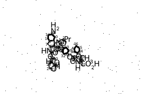 CC(C)CN(C[C@@H](O)[C@H](Cc1ccc(N)cc1)NC(=O)O[C@H]1CO[C@H]2OCC[C@H]21)S(=O)(=O)c1ccc(OCP(=O)(N[C@@H](C)C(=O)O)Oc2ccccc2)cc1